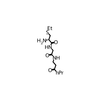 CCCC(=O)CCNC(=O)CNC(=O)[C@@H](N)CSCC